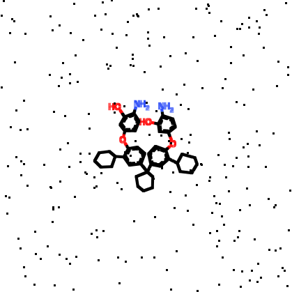 Nc1ccc(Oc2ccc(C3(c4ccc(Oc5ccc(N)c(O)c5)c(C5CCCCC5)c4)CCCCC3)cc2C2CCCCC2)cc1O